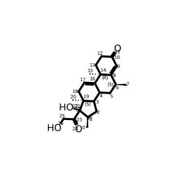 C[C@@H]1CC2C3C[C@H](C)C4=CC(=O)CC[C@]4(C)C3=CC[C@]2(C)[C@@]1(O)C(=O)CO